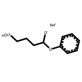 CCCCCCCCCCCC([O-])Oc1ccccc1.[Na+]